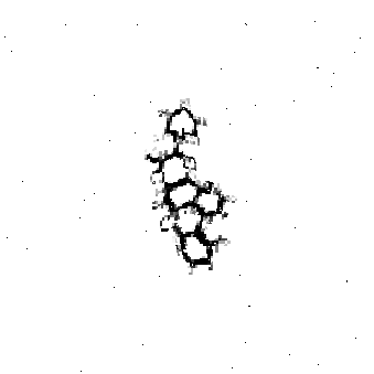 Cc1cccc(Cl)c1-c1ccnc2cc(OC(C)C(=O)N3CCCCC3)ccc12